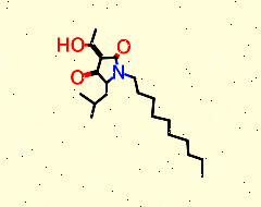 CCCCCCCCCCN1C(=O)/C(=C(\C)O)C(=O)C1CC(C)C